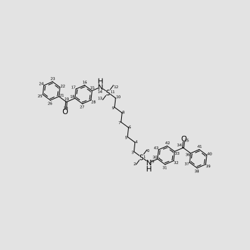 CS(C)(CCCCCCCCS(C)(C)Nc1ccc(C(=O)c2ccccc2)cc1)Nc1ccc(C(=O)c2ccccc2)cc1